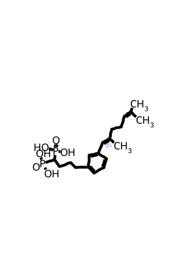 CC(C)=CCC/C(C)=C/c1cccc(CCCC(P(=O)(O)O)P(=O)(O)O)c1